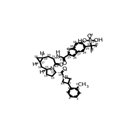 Cc1ccccc1C1CN(C(=O)[C@@H]2CC[C@@H]3C[C@H]4C[C@H]4C[C@H](NC(=O)c4cc5cc(C(F)(F)P(=O)(O)O)ccc5s4)C(=O)N32)C1